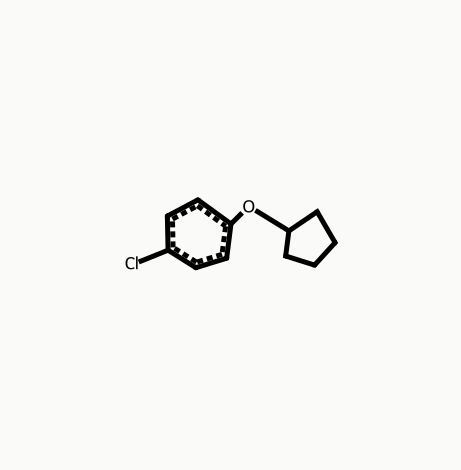 Clc1ccc(OC2CCCC2)cc1